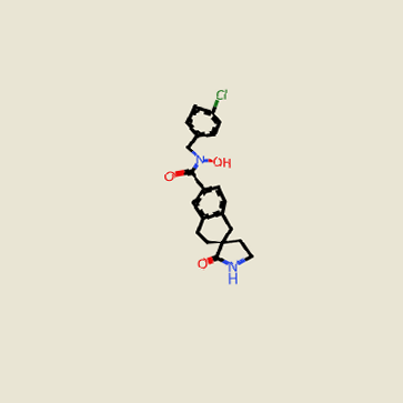 O=C(c1ccc2c(c1)CC[C@]1(CCNC1=O)C2)N(O)Cc1ccc(Cl)cc1